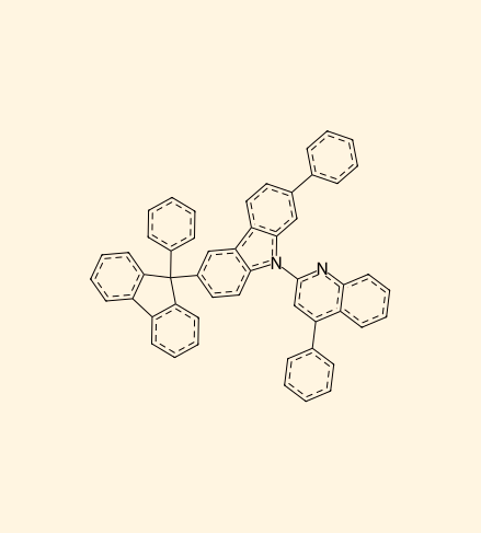 c1ccc(-c2ccc3c4cc(C5(c6ccccc6)c6ccccc6-c6ccccc65)ccc4n(-c4cc(-c5ccccc5)c5ccccc5n4)c3c2)cc1